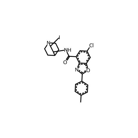 Cc1ccc(-c2nc3c(C(=O)NC4C5CCN(CC5)C4I)cc(Cl)cc3o2)cc1